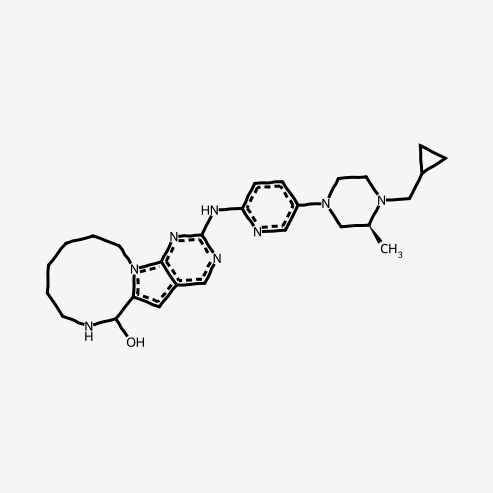 C[C@H]1CN(c2ccc(Nc3ncc4cc5n(c4n3)CCCCCCNC5O)nc2)CCN1CC1CC1